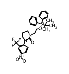 CC(C)(C)[Si](OCCN1CCCN(c2ccc([N+](=O)[O-])cc2C(F)(F)F)C1=O)(c1ccccc1)c1ccccc1